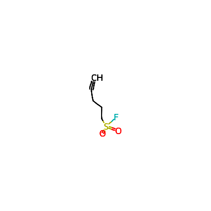 C#CCCCS(=O)(=O)F